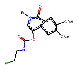 CCn1cc(OC(=O)NCCF)c2cc(OC)c(OC)cc2c1=O